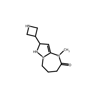 CN1C(=O)CCCN2NC(C3CNC3)C=C21